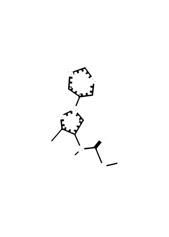 COC(=O)N(C)c1cn(-c2cncnc2)nc1C